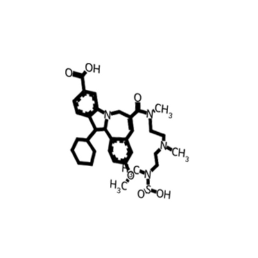 COc1ccc2c(c1)C=C(C(=O)N(C)CCN(C)CCN(C)S(=O)O)CN1c3cc(C(=O)O)ccc3C(C3CCCCC3)C21